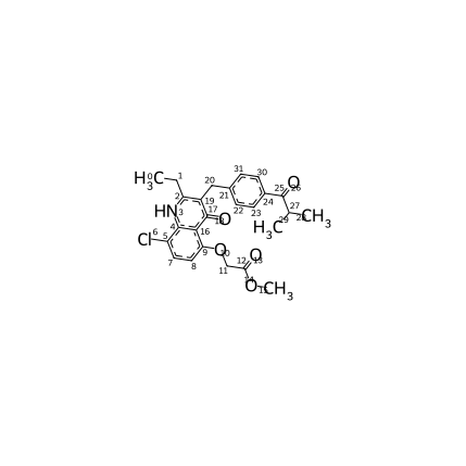 CCc1[nH]c2c(Cl)ccc(OCC(=O)OC)c2c(=O)c1Cc1ccc(C(=O)C(C)C)cc1